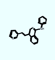 c1ccc(Nc2ncc(CCc3cccnc3)c3ccccc23)cc1